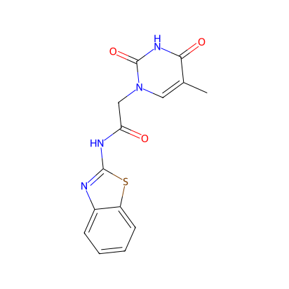 Cc1cn(CC(=O)Nc2nc3ccccc3s2)c(=O)[nH]c1=O